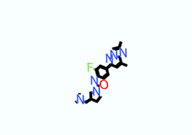 Cc1cn2nc(-c3cc(F)c4nc(N5CCC(CN(C)C)C5)oc4c3)cc(C)c2n1